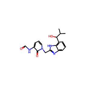 CC(C)C(O)c1cccc2nc(Cn3cccc(NC=O)c3=O)[nH]c12